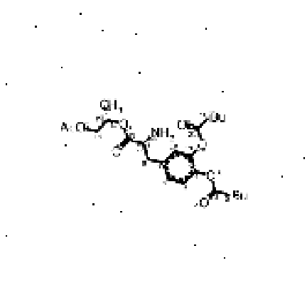 CCC(C)C(=O)Oc1ccc(C[C@H](N)C(=O)O[C@@H](C)COC(C)=O)cc1OC(=O)C(C)CC